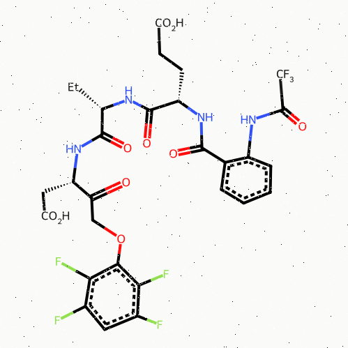 CC[C@H](NC(=O)[C@H](CCC(=O)O)NC(=O)c1ccccc1NC(=O)C(F)(F)F)C(=O)N[C@@H](CC(=O)O)C(=O)COc1c(F)c(F)cc(F)c1F